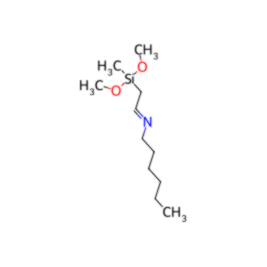 CCCCCCN=CC[Si](C)(OC)OC